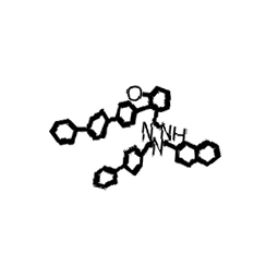 c1ccc(-c2ccc(C3=NC(c4ccc5ccccc5c4)NC(c4cccc5oc6cc(-c7ccc(-c8ccccc8)cc7)ccc6c45)=N3)cc2)cc1